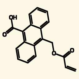 C=CC(=O)OCc1c2ccccc2c(C(=O)O)c2ccccc12